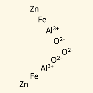 [Al+3].[Al+3].[Fe].[Fe].[O-2].[O-2].[O-2].[Zn].[Zn]